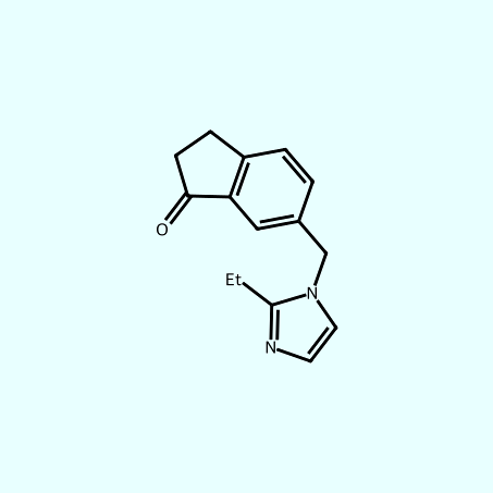 CCc1nccn1Cc1ccc2c(c1)C(=O)CC2